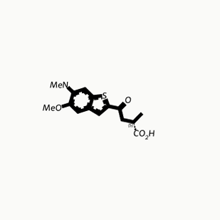 CNc1cc2sc(C(=O)C[C@H](C)C(=O)O)cc2cc1OC